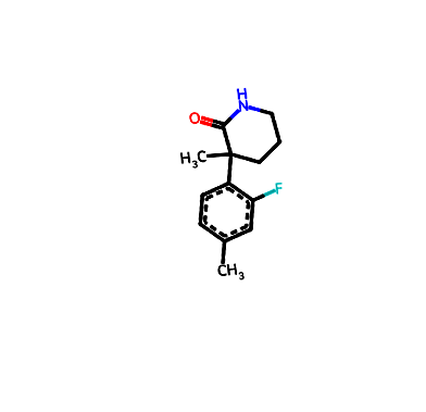 Cc1ccc(C2(C)CCCNC2=O)c(F)c1